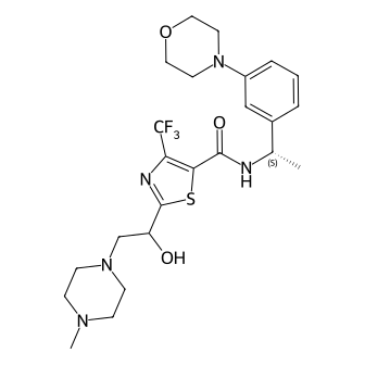 C[C@H](NC(=O)c1sc(C(O)CN2CCN(C)CC2)nc1C(F)(F)F)c1cccc(N2CCOCC2)c1